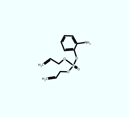 C=CCOP(=O)(OCC=C)Oc1ccccc1N